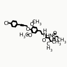 CCS(=O)(=O)NC(C(=O)NCCc1cc(OC)c(OCC#Cc2ccc(Cl)cc2)c(OC)c1)C(C)C